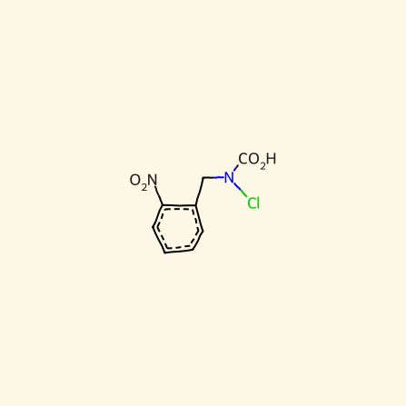 O=C(O)N(Cl)Cc1ccccc1[N+](=O)[O-]